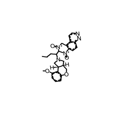 CCCC(C1[N+](=O)Cc2c(ccc3nnccc23)[N+]1=O)N1C[C@@H]2COc3cccc(OC)c3[C@@H]2C1